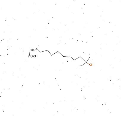 CCCCCCCC/C=C\CCCCCCCCC(C)(S)CC